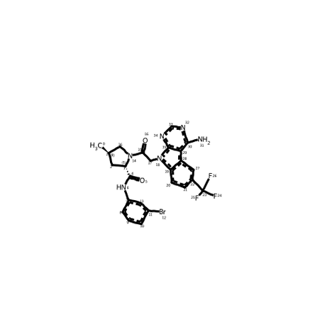 C[C@@H]1C[C@@H](C(=O)Nc2cccc(Br)c2)N(C(=O)Cn2c3ccc(C(F)(F)F)cc3c3c(N)ncnc32)C1